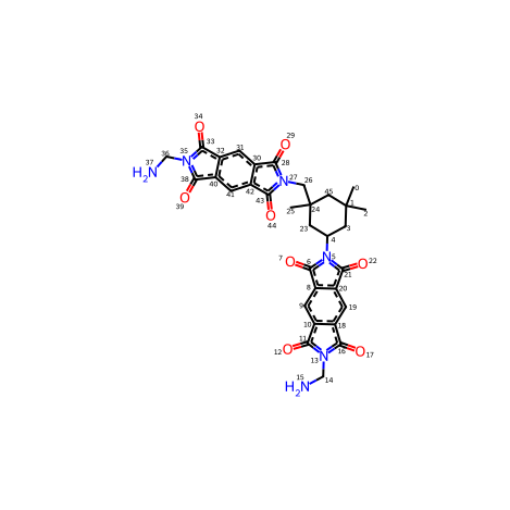 CC1(C)CC(n2c(=O)c3cc4c(=O)n(CN)c(=O)c4cc3c2=O)CC(C)(Cn2c(=O)c3cc4c(=O)n(CN)c(=O)c4cc3c2=O)C1